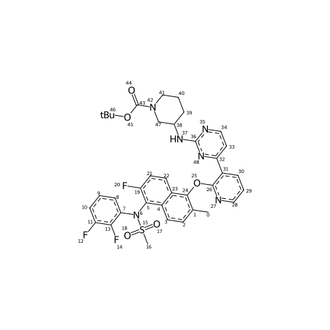 Cc1ccc2c(N(c3cccc(F)c3F)S(C)(=O)=O)c(F)ccc2c1Oc1ncccc1-c1ccnc(NC2CCCN(C(=O)OC(C)(C)C)C2)n1